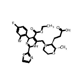 CCOC(=O)C1=C(CN2CCO[C@@H](C)[C@@H]2CCC(=O)O)NC(c2nccs2)=NC1c1ccc(F)cc1Br